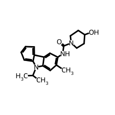 Cc1cc2c(cc1NC(=O)N1CCC(O)CC1)c1ccccc1n2C(C)C